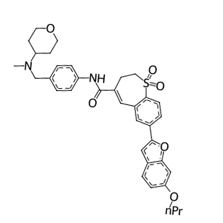 CCCOc1ccc2cc(-c3ccc4c(c3)C=C(C(=O)Nc3ccc(CN(C)C5CCOCC5)cc3)CCS4(=O)=O)oc2c1